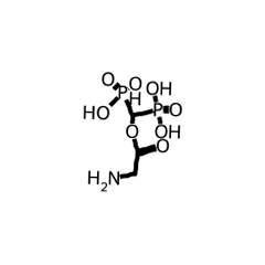 NCC(=O)OC(P(=O)(O)O)P(=O)(O)O